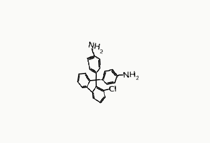 Nc1ccc(C2(c3ccc(N)cc3)c3ccccc3-c3cccc(Cl)c32)cc1